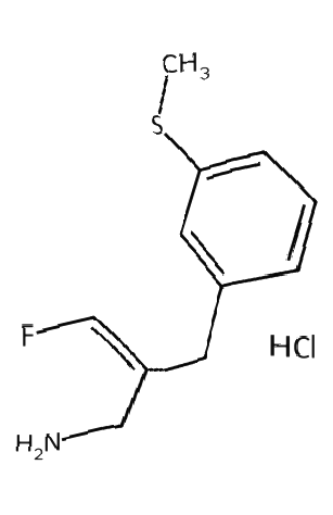 CSc1cccc(CC(=CF)CN)c1.Cl